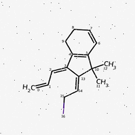 C=C/C=C1/C2=C(C=CCC2)C(C)(C)/C1=C/CI